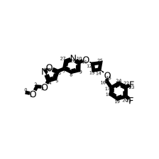 COCOc1cc(-c2ccc(O[C@H]3C[C@@H](OCc4ccc(F)c(F)c4)C3)nc2)on1